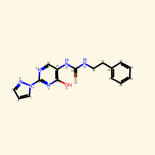 Oc1nc(-n2cccn2)ncc1NC(=S)NCCc1ccccc1